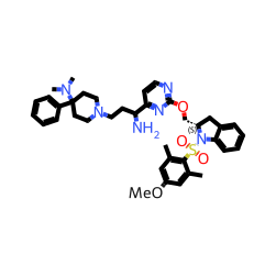 COc1cc(C)c(S(=O)(=O)N2c3ccccc3C[C@H]2COc2nccc(C(N)CCN3CCC(c4ccccc4)(N(C)C)CC3)n2)c(C)c1